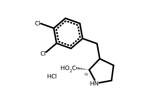 Cl.O=C(O)[C@H]1NCCC1Cc1ccc(Cl)c(Cl)c1